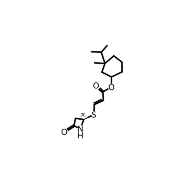 CC(C)C1(C)CCCC(OC(=O)C=CS[C@@H]2CC(=O)N2)C1